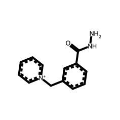 NNC(=O)c1cccc(C[n+]2ccccc2)c1